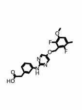 COc1cc(C)c(F)c(COc2cnc(Nc3cccc(CC(=O)O)c3)nc2)c1F